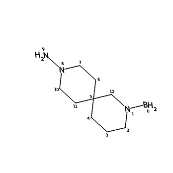 BN1CCCC2(CCN(N)CC2)C1